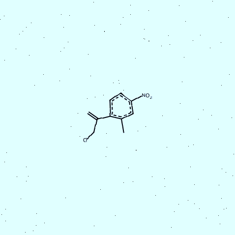 C=C(CCl)c1ccc([N+](=O)[O-])cc1C